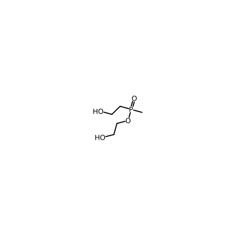 CP(=O)(CCO)OCCO